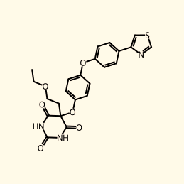 CCOCCC1(Oc2ccc(Oc3ccc(-c4cscn4)cc3)cc2)C(=O)NC(=O)NC1=O